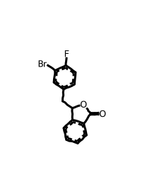 O=C1OC(Cc2ccc(F)c(Br)c2)c2ccccc21